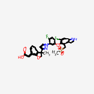 CC1(c2ccn(-c3cc(Oc4c(F)cc5[nH]ccc5c4CS(C)(=O)=O)ccc3F)n2)COc2c(CC(=O)O)cccc21